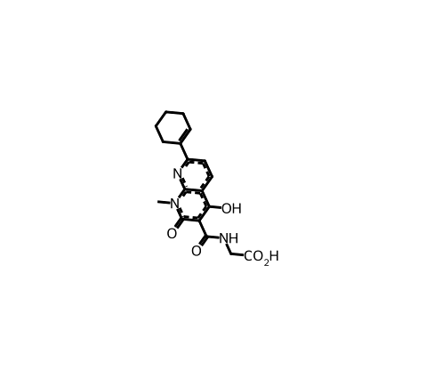 Cn1c(=O)c(C(=O)NCC(=O)O)c(O)c2ccc(C3=CCCCC3)nc21